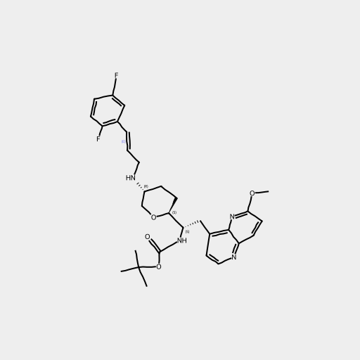 COc1ccc2nccc(C[C@H](NC(=O)OC(C)(C)C)[C@@H]3CC[C@@H](NC/C=C/c4cc(F)ccc4F)CO3)c2n1